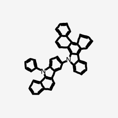 c1ccc(-n2c3ccc(-n4c5ccccc5c5c6ccccc6c6c7ccccc7ccc6c54)cc3c3ccc4ccccc4c32)cc1